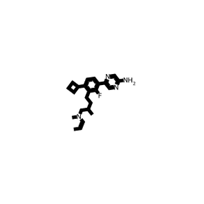 C/C=C\N(C)CC(C)CCc1c(C2CCC2)ccc(-c2cnc(N)cn2)c1F